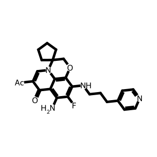 CC(=O)c1cn2c3c(c(NCCCc4ccncc4)c(F)c(N)c3c1=O)OCC21CCCC1